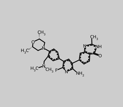 Cc1nc2cc(-c3cc(-c4ccc(N5C[C@@H](C)O[C@@H](C)C5)c(CN(C)C)c4)c(F)nc3N)ccc2c(=O)[nH]1